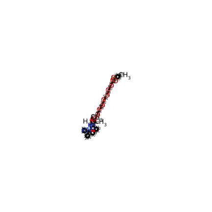 CCOCc1nc2c(NC(c3ccccc3)(c3ccccc3)c3ccccc3)nc3ccccc3c2n1CC(C)(C)OCCOCCOCCOCCOCCOCCOCCOCCOS(=O)(=O)c1ccc(C)cc1